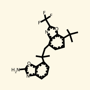 CC(C)(C)c1ccc(CC(C)(C)c2cccc3nc(N)oc23)c2nc(C(F)(F)F)oc12